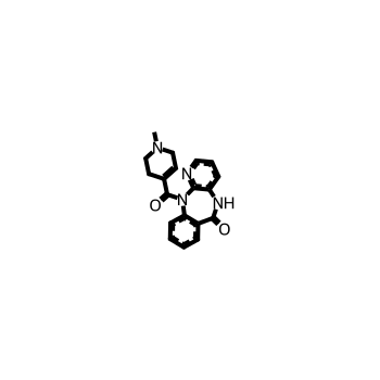 CN1CC=C(C(=O)N2c3ccccc3C(=O)Nc3cccnc32)CC1